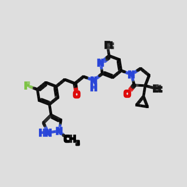 CCc1cc(N2CCC(CC)(C3CC3)C2=O)cc(NCC(=O)Cc2cc(F)cc(C3=CN(C)NC3)c2)n1